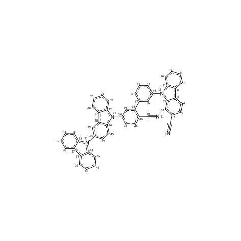 N#Cc1ccc2c3ccccc3n(-c3cccc(-c4cc(-n5c6ccccc6c6cc(-n7c8ccccc8c8ccccc87)ccc65)ccc4C#N)c3)c2c1